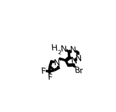 Nc1ncnn2c(Br)cc(CN3CC4C(C3)C4(F)F)c12